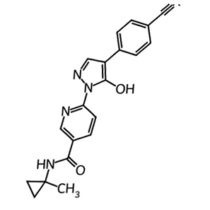 CC1(NC(=O)c2ccc(-n3ncc(-c4ccc(C#N)cc4)c3O)nc2)CC1